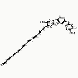 C#CC#CC#CC#CC#CC#CC#CC#CC#CC(CC(=O)Oc1cccc(OC(=O)CC(C)C(=O)O)c1)C(=O)O